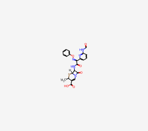 CC1S[C@@H]2C(NC(=O)C(=NOc3ccccc3)c3cccc(NC=O)n3)C(=O)N2C=C1C(=O)O